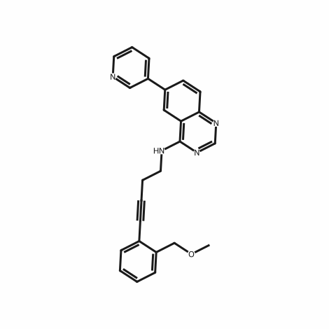 COCc1ccccc1C#CCCNc1ncnc2ccc(-c3cccnc3)cc12